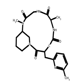 Cc1cccc(CC2CC(=O)NC(C)C(=O)NCC(=O)N(C)C3CCCN(C3)C2=O)n1